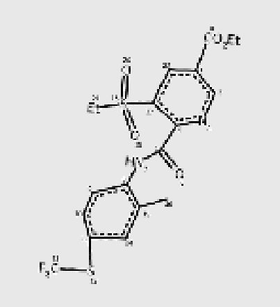 CCOC(=O)c1cnc(C(=O)Nc2ccc(SC(F)(F)F)cc2C)c(S(=O)(=O)CC)c1